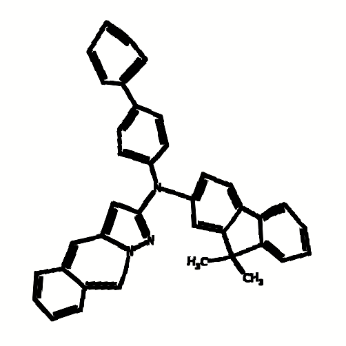 CC1(C)c2ccccc2-c2ccc(N(c3ccc(-c4ccccc4)cc3)c3cc4cc5ccccc5cn4n3)cc21